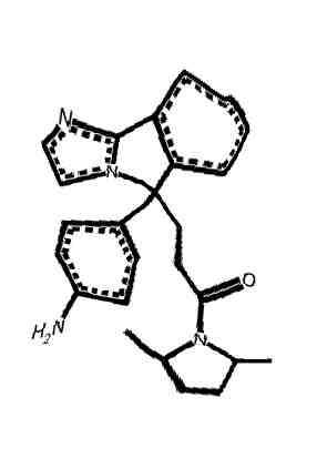 CC1CCC(C)N1C(=O)CCC1(c2ccc(N)cc2)c2ccccc2-c2nccn21